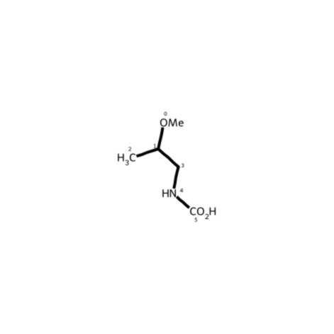 COC(C)CNC(=O)O